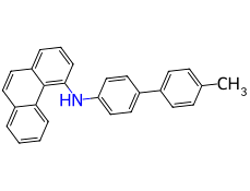 Cc1ccc(-c2ccc(Nc3cccc4ccc5ccccc5c34)cc2)cc1